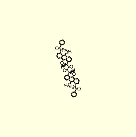 O=C(Nc1cccc2c(O)c3c(NC(=O)c4ccccc4)cccc3c(O)c12)C(=O)Nc1cccc2c(O)c3c(NC(=O)c4ccccc4)cccc3c(O)c12